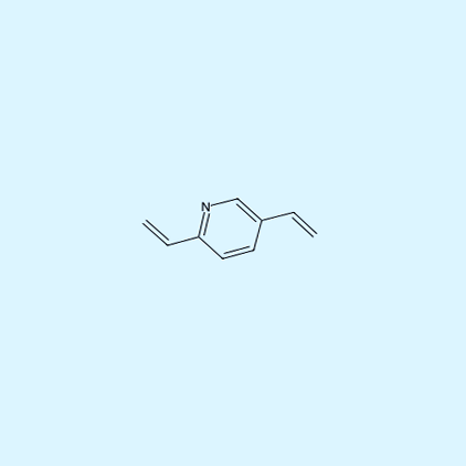 C=Cc1ccc(C=C)nc1